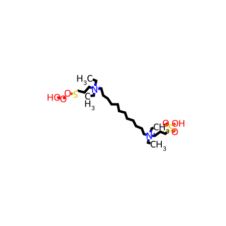 CC[N+](CC)(CCCCCCCCCCCC[N+](CC)(CC)CCCS(=O)(=O)O)CCCSOOO